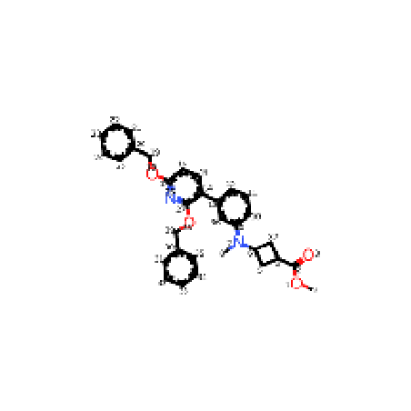 COC(=O)C1CC(N(C)c2cccc(-c3ccc(OCc4ccccc4)nc3OCc3ccccc3)c2)C1